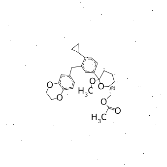 COC1(c2ccc(C3CC3)c(Cc3ccc4c(c3)OCCO4)c2)[CH][CH][CH][C@H](COC(C)=O)O1